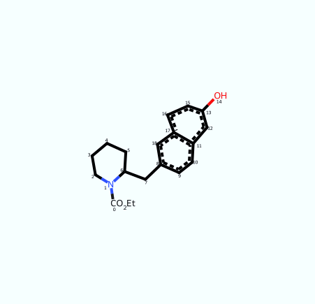 CCOC(=O)N1CCCCC1Cc1ccc2cc(O)ccc2c1